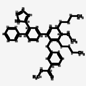 CCCCC1=C(Cc2cccc(C(=O)OC)c2)C(c2ccc(-c3ccccc3)c(-c3nnn[nH]3)c2)=NC(CCCC)N1OC